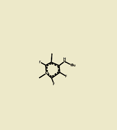 Cc1c(NC(C)(C)C)c(F)c(F)[n+](C)c1F